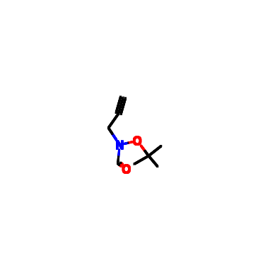 C#CCN(C=O)OC(C)(C)C